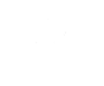 CC=CC(=O)OCC(C)OCCCC